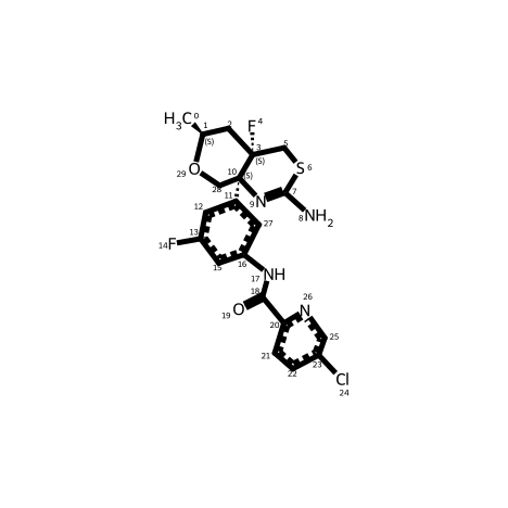 C[C@H]1C[C@@]2(F)CSC(N)=N[C@@]2(c2cc(F)cc(NC(=O)c3ccc(Cl)cn3)c2)CO1